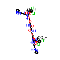 O=C(O)CC(NC(=O)[C@H](COCCOCCNC(=O)CCC(=O)NCCOCCOC[C@H](NC(=O)CCCCNc1ccccn1)C(=O)NC(CC(=O)O)c1cc(Cl)cc(Cl)c1)NC(=O)CCCCNc1ccccn1)c1cc(Cl)cc(Cl)c1